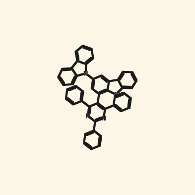 c1ccc(-c2nc(-c3ccccc3)c(-c3cc(-n4c5ccccc5c5ccccc54)cc4c3sc3ccccc34)c(-c3ccccc3)n2)cc1